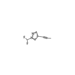 CC#Cc1cnn(C(F)F)c1